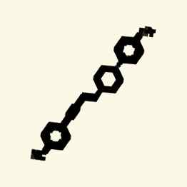 CCCc1ccc([C@H]2CC[C@H](C=CC#Cc3ccc(C#N)cc3)CC2)cc1